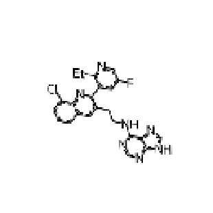 CCc1ncc(F)cc1-c1nc2c(Cl)cccc2cc1CCNc1ncnc2[nH]cnc12